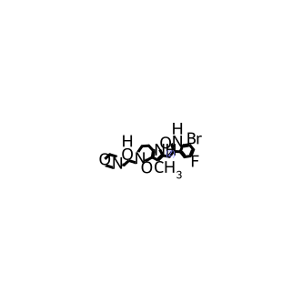 Cc1c(/C=C2\C(=O)Nc3c(Br)cc(F)cc32)[nH]c2c1C(=O)N(CC(O)CN1CCOCC1)CCC2